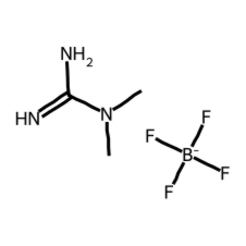 CN(C)C(=N)N.F[B-](F)(F)F